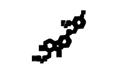 O=C(O)CC1NCCc2c1[nH]c1ccc(OCc3ccc(F)cc3C(F)(F)F)cc21